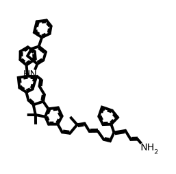 CC(/C=C\c1ccc2c(c1)C(C)(C)C(=C/c1ccc(-c3ccccc3)cc1)/C2=C\C=C\NC1=CC=C(c2ccccc2)CC1)=C/C=C/C=C\C(=C/C=C/N)c1ccccc1